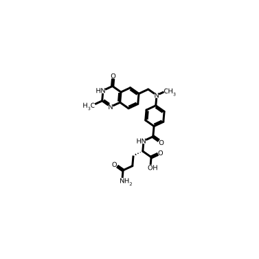 Cc1nc2ccc(CN(C)c3ccc(C(=O)N[C@@H](CCC(N)=O)C(=O)O)cc3)cc2c(=O)[nH]1